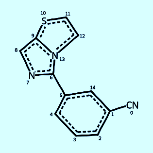 N#Cc1cccc(-c2ncc3sccn23)c1